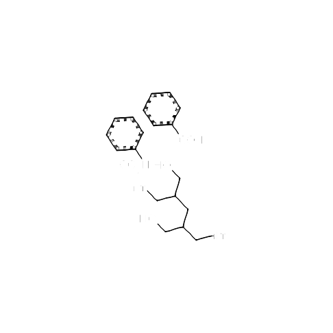 CC(C)CC(CO)CC(CO)CC(C)C.O=C(O)c1ccccc1.O=C(O)c1ccccc1